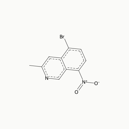 Cc1cc2c(Br)ccc([N+](=O)[O-])c2cn1